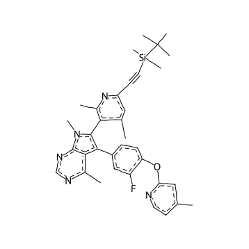 Cc1ccnc(Oc2ccc(-c3c(-c4c(C)cc(C#C[Si](C)(C)C(C)(C)C)nc4C)n(C)c4ncnc(C)c34)cc2F)c1